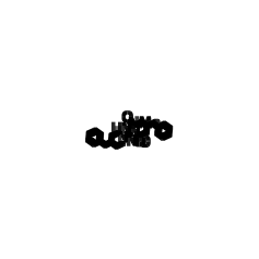 CNC(=O)NC(N=C=O)(N1CCC(Cc2ccccc2)CC1)N1CCC(Cc2ccccc2)CC1